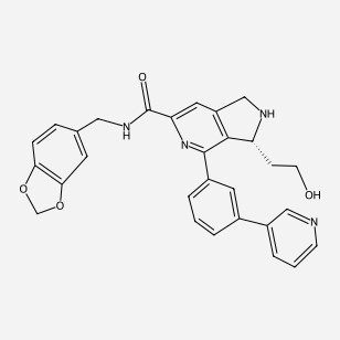 O=C(NCc1ccc2c(c1)OCO2)c1cc2c(c(-c3cccc(-c4cccnc4)c3)n1)[C@@H](CCO)NC2